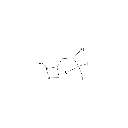 CC[C](CC1CSC1=O)C(F)(F)Cl